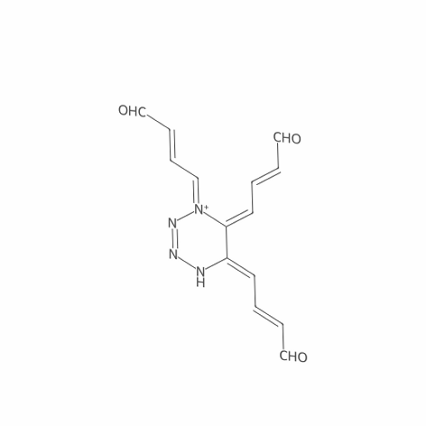 O=C/C=C/C=C1NN=N[N+](=C/C=C/C=O)C1=C/C=C/C=O